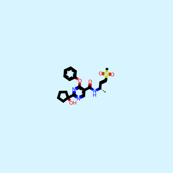 C[C@@H](/C=C/S(C)(=O)=O)NC(=O)c1cnc(C2(O)CCCC2)nc1Oc1ccccc1